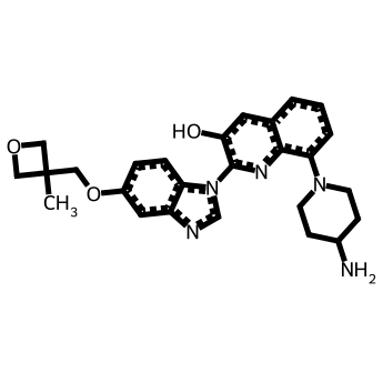 CC1(COc2ccc3c(c2)ncn3-c2nc3c(N4CCC(N)CC4)cccc3cc2O)COC1